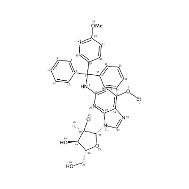 CCOc1nc(NC(c2ccccc2)(c2ccccc2)c2ccc(OC)cc2)nc2c1ncn2[C@@H]1O[C@H](CO)[C@@H](O)[C@@]1(C)Cl